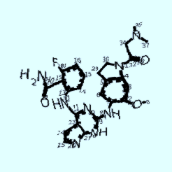 COc1cc2c(cc1Nc1nc(Nc3cccc(F)c3C(N)=O)c3ccnc-3[nH]1)CCN2C(=O)CN(C)C